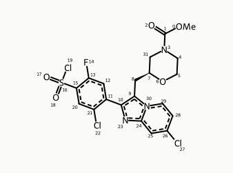 COC(=O)N1CCO[C@@H](Cc2c(-c3cc(F)c(S(=O)(=O)Cl)cc3Cl)nc3cc(Cl)ccn23)C1